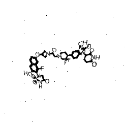 Cn1c(=O)n(C2CCC(=O)NC2=O)c2ccc(C3CCN(CC(=O)N4CC(Oc5ccc6cc(O)c(N7CC(=O)NS7(=O)=O)c(F)c6c5)C4)CC3(F)F)cc21